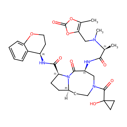 Cc1oc(=O)oc1CN(C)[C@@H](C)C(=O)N[C@H]1CN(C(=O)C2(O)CC2)CC[C@H]2CC[C@@H](C(=O)N[C@@H]3CCOc4ccccc43)N2C1=O